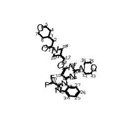 O=C(CC1CCOCC1)N1CC(COc2cc(-n3c(C(F)F)nc4ccccc43)nc(N3CCOCC3)n2)C1